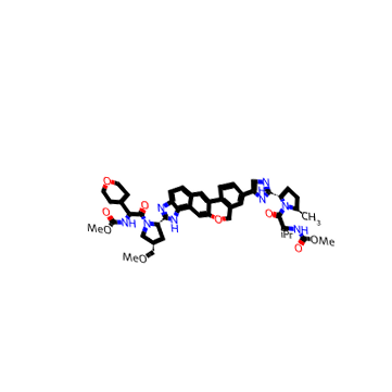 COC[C@H]1C[C@@H](c2nc3ccc4cc5c(cc4c3[nH]2)OCc2cc(-c3cnc([C@@H]4CC[C@H](C)N4C(=O)C(NC(=O)OC)C(C)C)[nH]3)ccc2-5)N(C(=O)C(NC(=O)OC)C2CCOCC2)C1